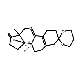 CC12CC=C3C4=C(CC[C@H]3[C@@H]1CCC2=O)CC1(CC4)OCCCO1